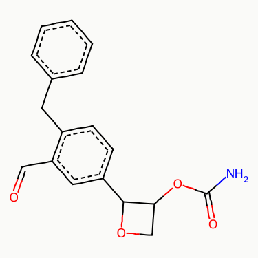 NC(=O)OC1COC1c1ccc(Cc2ccccc2)c(C=O)c1